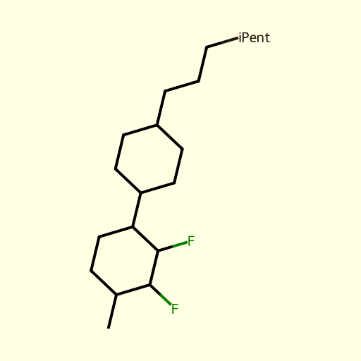 CCCC(C)CCCC1CCC(C2CCC(C)C(F)C2F)CC1